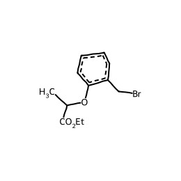 CCOC(=O)C(C)Oc1ccccc1CBr